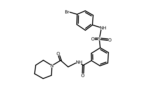 O=C(NCC(=O)N1CCCCC1)c1cccc(S(=O)(=O)Nc2ccc(Br)cc2)c1